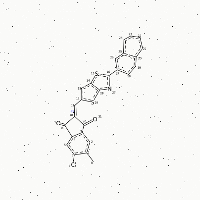 Cc1cc2c(cc1Cl)C(=O)/C(=C/c1cc3sc(-c4ccc5ccccc5c4)nc3s1)C2=O